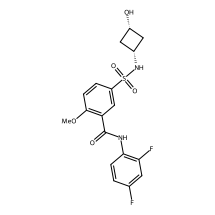 COc1ccc(S(=O)(=O)N[C@H]2C[C@@H](O)C2)cc1C(=O)Nc1ccc(F)cc1F